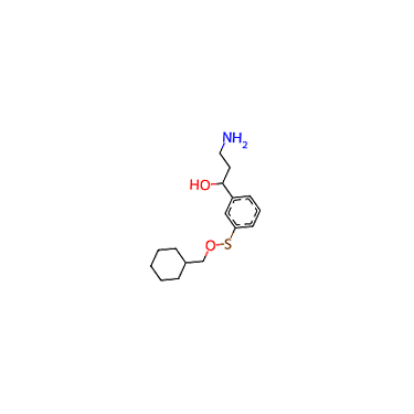 NCCC(O)c1cccc(SOCC2CCCCC2)c1